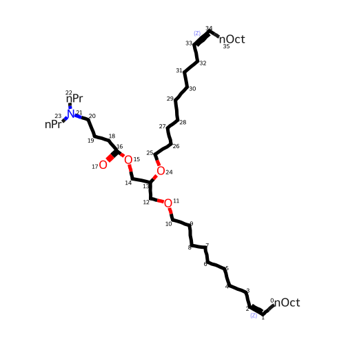 CCCCCCCC/C=C\CCCCCCCCOCC(COC(=O)CCCN(CCC)CCC)OCCCCCCCC/C=C\CCCCCCCC